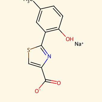 Cc1ccc(O)c(-c2nc(C(=O)[O-])cs2)c1.[Na+]